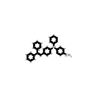 Cc1ccc(N(c2ccccc2)c2ccc(C=C(c3ccccc3)c3ccccc3)cc2)cc1